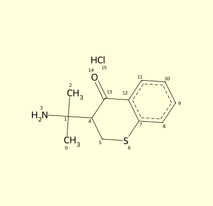 CC(C)(N)C1CSc2ccccc2C1=O.Cl